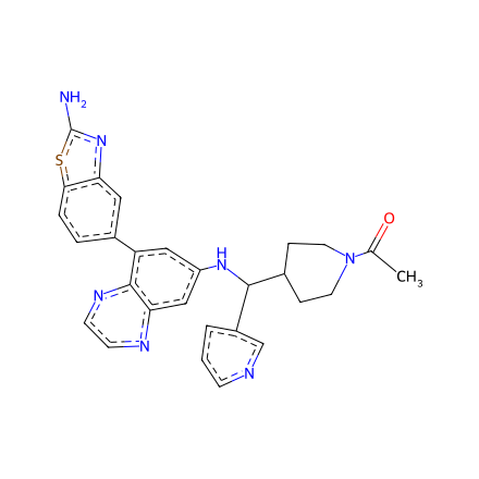 CC(=O)N1CCC(C(Nc2cc(-c3ccc4sc(N)nc4c3)c3nccnc3c2)c2cccnc2)CC1